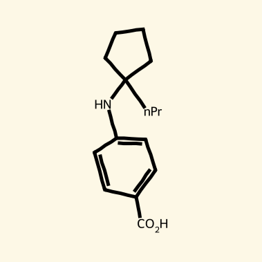 CCCC1(Nc2ccc(C(=O)O)cc2)CCCC1